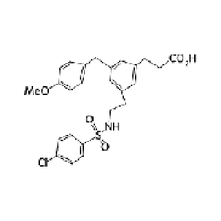 COc1ccc(Cc2cc(CCNS(=O)(=O)c3ccc(Cl)cc3)cc(CCC(=O)O)c2)cc1